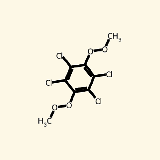 COOc1c(Cl)c(Cl)c(OOC)c(Cl)c1Cl